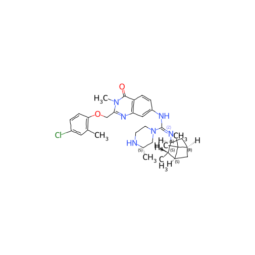 Cc1cc(Cl)ccc1OCc1nc2cc(N/C(=N/[C@H]3C[C@H]4C[C@@H]([C@@H]3C)C4(C)C)N3CCN[C@@H](C)C3)ccc2c(=O)n1C